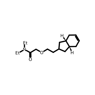 CCN(CC)C(=O)COCCC1C[C@H]2CC=CC[C@H]2C1